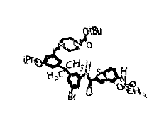 CC(C)Oc1cc(CN2CCN(C(=O)OC(C)(C)C)CC2)cc(C(C)(C)c2cc(Br)cc(NC(=O)c3cc4cc(NS(C)(=O)=O)ccc4s3)c2)c1